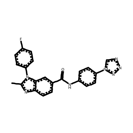 Cc1nc2ccc(C(=O)Nc3ccc(-n4cnnn4)cc3)cc2n1-c1ccc(F)cc1